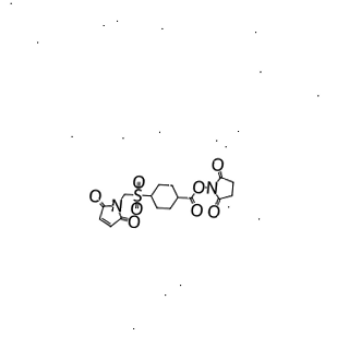 O=C(ON1C(=O)CCC1=O)C1CCC(S(=O)(=O)CN2C(=O)C=CC2=O)CC1